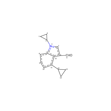 O=Cc1cn(C2CC2)c2cccc(C3CC3)c12